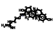 C[C@]12CCC(O)CC1CC[C@@H]1[C@H]2CC[C@]2(C)C(O)(/C=N/OCCNC(=N)N)CC[C@@]12O